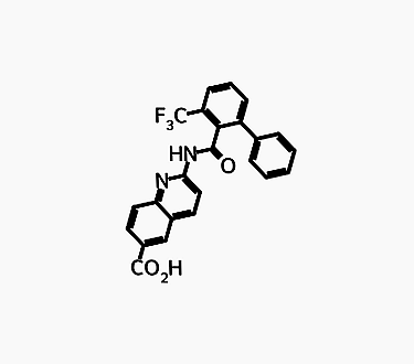 O=C(O)c1ccc2nc(NC(=O)c3c(-c4ccccc4)cccc3C(F)(F)F)ccc2c1